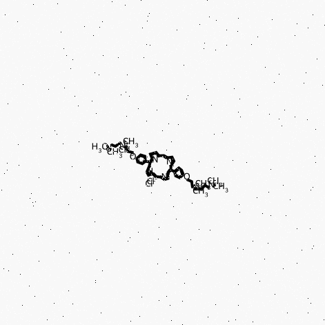 CN(C)CCC[N+](C)(C)CCCOc1ccc(C2=C3C=CC(=N3)C=C3C=CC(=N3)C(c3ccc(OCCC[N+](C)(C)CCCN(C)C)cc3)=C3C=CC(=N3)C=C3C=CC2=N3)cc1.[Cl-].[Cl-]